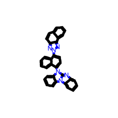 c1ccc2c(c1)ccc1nn(-c3ccc(-n4c5ccccc5n5c6ccccc6nc45)c4ccccc34)nc12